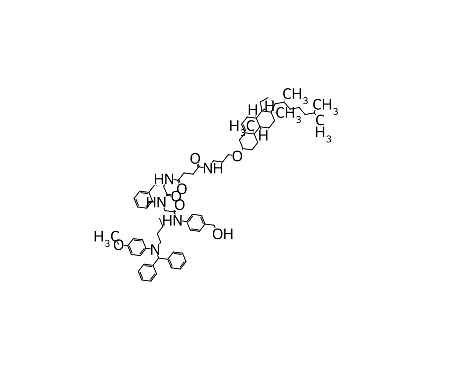 COc1ccc(N(CCCC[C@H](NC(=O)[C@H](Cc2ccccc2)NC(=O)CCC(=O)NCCCO[C@H]2CC[C@@]3(C)C(=CC[C@H]4[C@@H]5CC[C@H]([C@H](C)CCCC(C)C)[C@@]5(C)CC[C@@H]43)C2)C(=O)Nc2ccc(CO)cc2)C(c2ccccc2)c2ccccc2)cc1